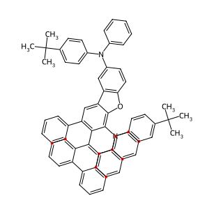 CC(C)(C)c1ccc(N(c2ccccc2)c2ccc3oc4c(N(c5ccccc5)c5ccc(C(C)(C)C)cc5)c(-c5c(-c6ccccc6)c6ccccc6c6ccccc56)c(-c5ccccc5)cc4c3c2)cc1